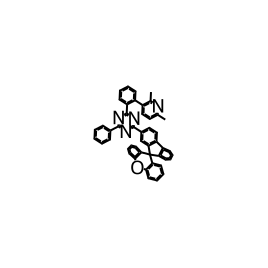 Cc1ccc(-c2ccccc2-c2nc(-c3ccccc3)nc(-c3ccc4c(c3)C3(c5ccccc5Oc5ccccc53)c3ccccc3-4)n2)c(C)n1